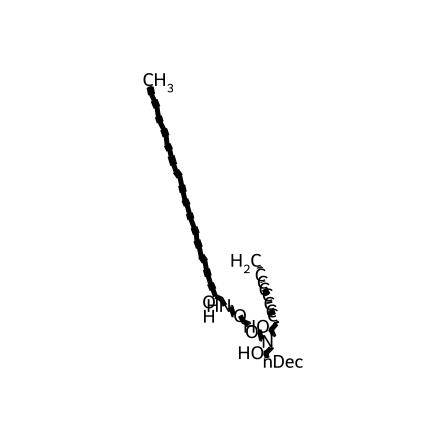 C=C=C=C=C=C=C=C=C=CC(O)CN(CCOCCOCCNCC(O)C#CC#CC#CC#CC#CC#CC#CC#CC#CC#CC#CC#CC#CC#CC#CC)CC(O)CCCCCCCCCC